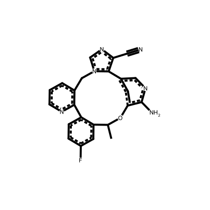 CC1Oc2cc(cnc2N)-c2c(C#N)ncn2Cc2cccnc2-c2ccc(F)cc21